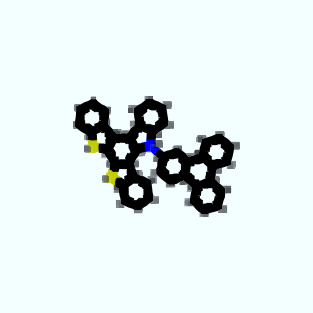 c1ccc2c(c1)sc1c3sc4ccccc4c3c3c(c4ccccc4n3-c3ccc4c5ccccc5c5ccccc5c4c3)c21